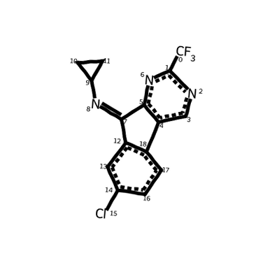 FC(F)(F)c1ncc2c(n1)C(=NC1CC1)c1cc(Cl)ccc1-2